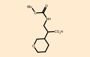 CC(C)(C)OC(=O)NCC(C(=O)O)C1CCCOC1